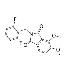 COc1ccc2c(c1OC)C(=O)N(Cc1c(F)cccc1F)C2=O